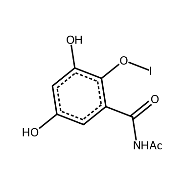 CC(=O)NC(=O)c1cc(O)cc(O)c1OI